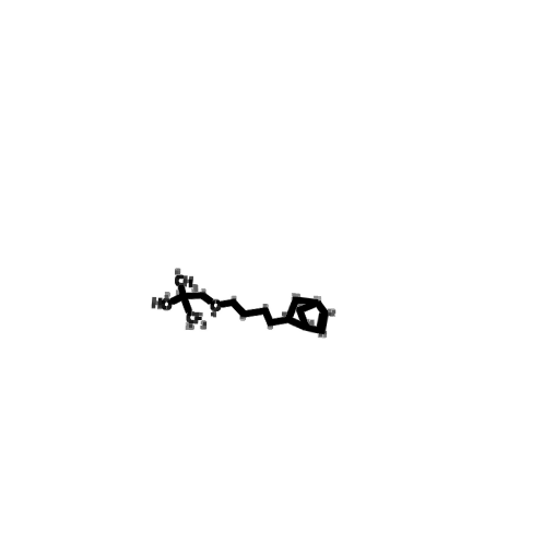 CC(O)(COCCCCC1CC2C=CC1C2)C(F)(F)F